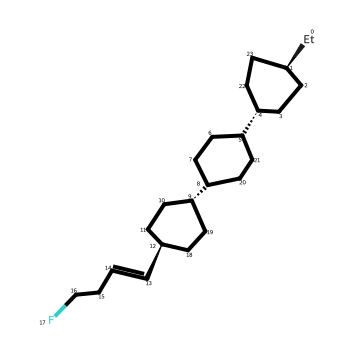 CC[C@H]1CC[C@H](C2CCC([C@H]3CC[C@H](/C=C/CCF)CC3)CC2)CC1